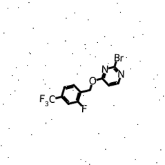 Fc1cc(C(F)(F)F)ccc1COc1ccnc(Br)n1